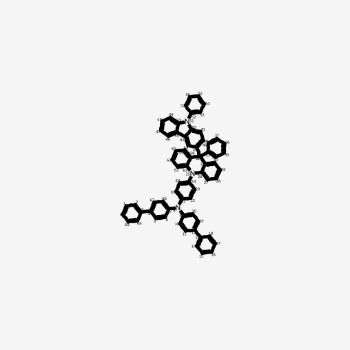 c1ccc(-c2ccc(N(c3ccc(-c4ccccc4)cc3)c3ccc(N4c5ccccc5C(c5ccccc5)(c5ccc6c(c5)c5ccccc5n6-c5ccccc5)c5ccccc54)cc3)cc2)cc1